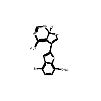 COc1ccc(Br)c2cc(C3=CN[C@H]4NC=NC(N)=C34)sc12